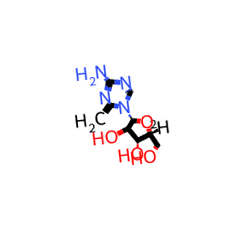 [2H][C@]1(CO)O[C@@H](N2C=NC(N)=NC2=C)C(O)[C@H]1O